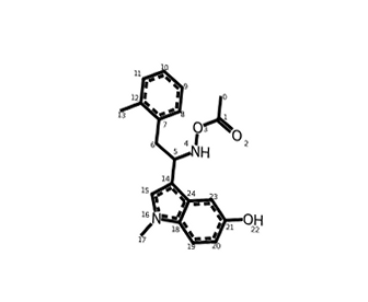 CC(=O)ONC(Cc1ccccc1C)c1cn(C)c2ccc(O)cc12